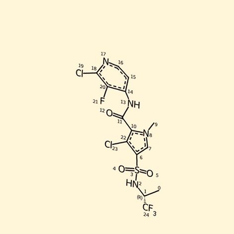 C[C@@H](NS(=O)(=O)c1cn(C)c(C(=O)Nc2ccnc(Cl)c2F)c1Cl)C(F)(F)F